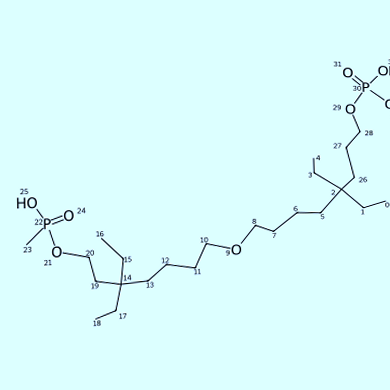 CCC(CC)(CCCCOCCCCC(CC)(CC)CCOP(C)(=O)O)CCCOP(=O)(O)O